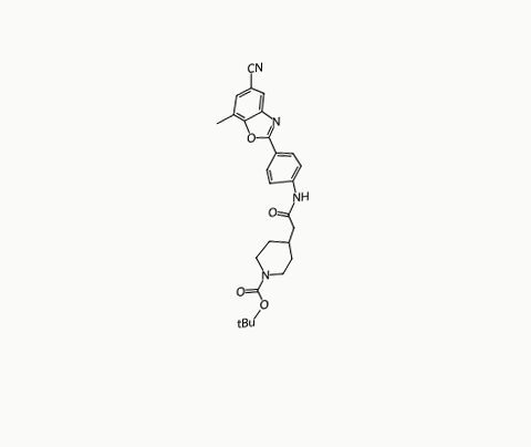 Cc1cc(C#N)cc2nc(-c3ccc(NC(=O)CC4CCN(C(=O)OC(C)(C)C)CC4)cc3)oc12